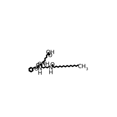 CCCCCCCCCCCCCCCC(=O)NCCCCC(NC(=O)OCc1ccccc1)C(=O)NCCCCCC(=O)O